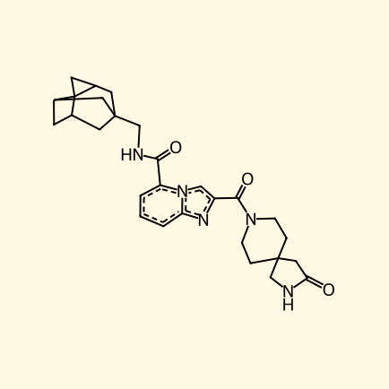 O=C1CC2(CCN(C(=O)c3cn4c(C(=O)NCC56CC7CC(C5)C75CC5C6)cccc4n3)CC2)CN1